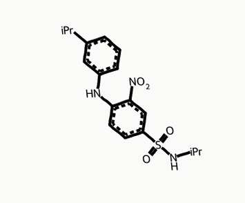 CC(C)NS(=O)(=O)c1ccc(Nc2cccc(C(C)C)c2)c([N+](=O)[O-])c1